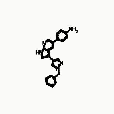 Nc1ccc(-c2cnc3[nH]cc(-c4cnn(Cc5ccccc5)c4)c3c2)cc1